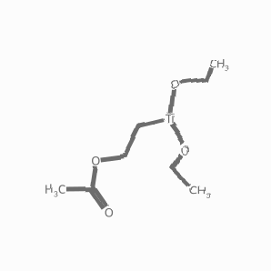 CC[O][Ti]([CH2]COC(C)=O)[O]CC